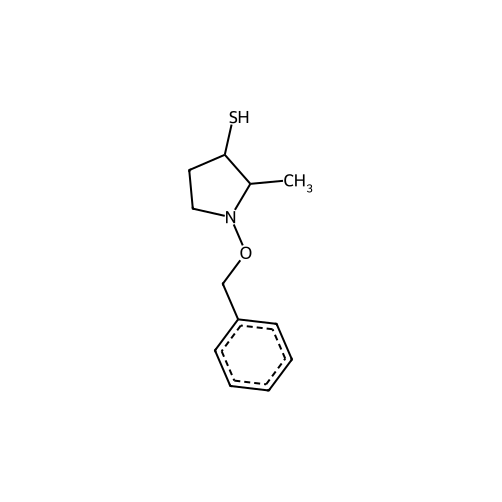 CC1C(S)CCN1OCc1ccccc1